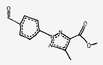 COC(=O)c1nn(-c2ccc(C=O)cc2)nc1C